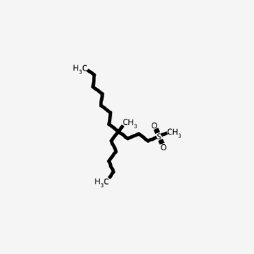 CCCCCCCC(C)(CCCCC)CCCS(C)(=O)=O